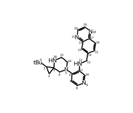 CC(C)(C)C1CC12CN(c1ccncc1NCc1ccc3nccnc3c1)CCN2